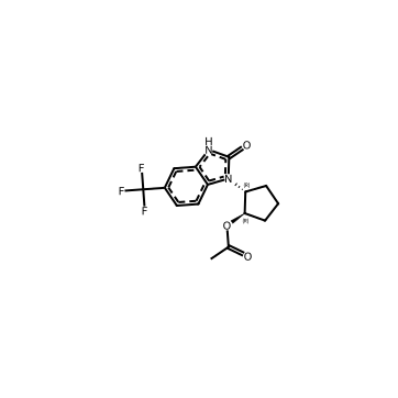 CC(=O)O[C@@H]1CCC[C@H]1n1c(=O)[nH]c2cc(C(F)(F)F)ccc21